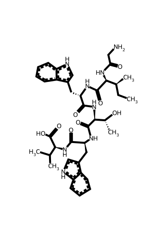 CC[C@H](C)[C@H](NC(=O)CN)C(=O)N[C@@H](Cc1c[nH]c2ccccc12)C(=O)N[C@H](C(=O)N[C@@H](Cc1c[nH]c2ccccc12)C(=O)N[C@H](C(=O)O)C(C)C)[C@@H](C)O